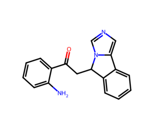 Nc1ccccc1C(=O)CC1c2ccccc2-c2cncn21